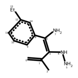 C=C(C)/C(NN)=C(/N)c1cccc(CC)c1